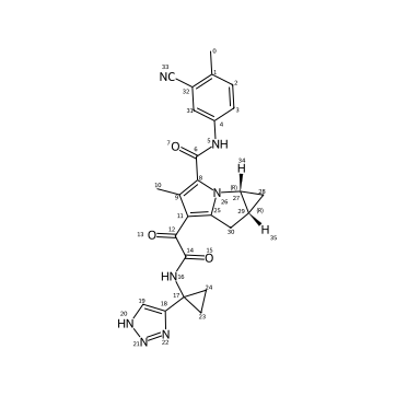 Cc1ccc(NC(=O)c2c(C)c(C(=O)C(=O)NC3(c4c[nH]nn4)CC3)c3n2[C@@H]2C[C@@H]2C3)cc1C#N